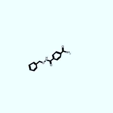 NC(=O)c1ccc(C(=O)NOCc2ccccc2)cc1